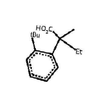 CCC(C)(C(=O)O)c1ccccc1C(C)(C)C